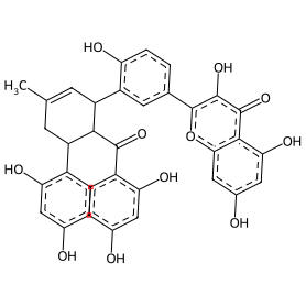 CC1=CC(c2cc(-c3oc4cc(O)cc(O)c4c(=O)c3O)ccc2O)C(C(=O)c2ccc(O)cc2O)C(c2ccc(O)cc2O)C1